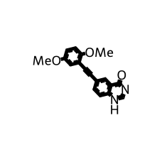 COc1ccc(OC)c(C#Cc2ccc3[nH]cnc(=O)c3c2)c1